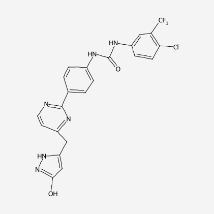 O=C(Nc1ccc(-c2nccc(Cc3cc(O)n[nH]3)n2)cc1)Nc1ccc(Cl)c(C(F)(F)F)c1